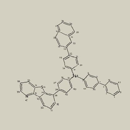 c1ccc(-c2ccc(N(c3ccc(-c4ccc5ccccc5c4)cc3)c3ccc(-c4cccc5c4sc4cccnc45)cc3)cc2)cc1